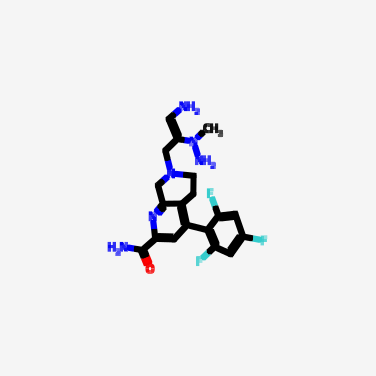 CN(N)/C(=C\N)CN1CCc2c(-c3c(F)cc(F)cc3F)cc(C(N)=O)nc2C1